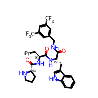 CC(C)C[C@H](NC(=O)[C@@H]1CCCN1)C(=O)N[C@@H](Cc1c[nH]c2ccccc12)C(=O)NCc1cc(C(F)(F)F)cc(C(F)(F)F)c1